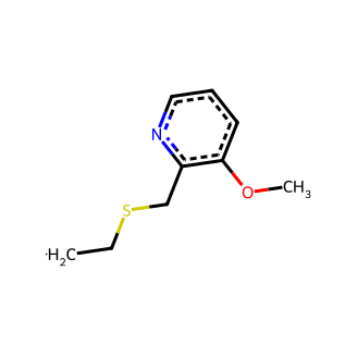 [CH2]CSCc1ncccc1OC